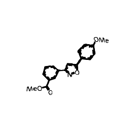 COC(=O)c1cccc(-c2cc(-c3ccc(OC)cc3)on2)c1